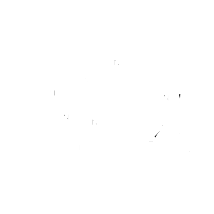 [O-][S+]1C[C@@H]2C[C@H]1CN2Cc1cnc2oc3c(N4CCOCC4)nc(Cl)nc3c2c1